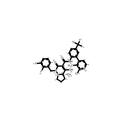 Cc1c(-c2cc(C(F)(F)F)ccc2NC(=O)C2=C(O)[C@@]3(C)CCCN3N(Cc3cccc(F)c3F)C2=O)ccnc1Cl